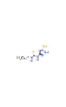 C=CCNC(=S)Nc1n[nH]c(S)n1